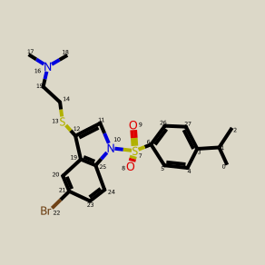 CC(C)c1ccc(S(=O)(=O)n2cc(SCCN(C)C)c3cc(Br)ccc32)cc1